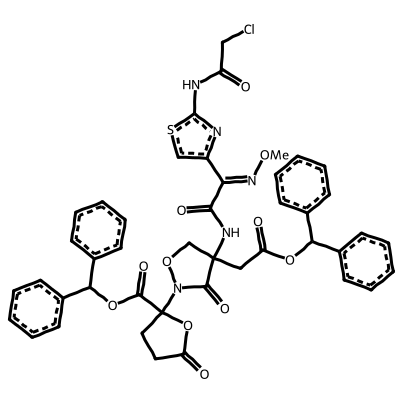 CON=C(C(=O)NC1(CC(=O)OC(c2ccccc2)c2ccccc2)CON(C2(C(=O)OC(c3ccccc3)c3ccccc3)CCC(=O)O2)C1=O)c1csc(NC(=O)CCl)n1